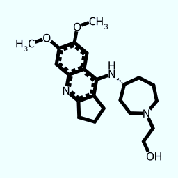 COc1cc2nc3c(c(N[C@@H]4CCCN(CCO)CC4)c2cc1OC)CCC3